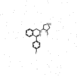 Fc1ccc(C2=N[C@H](C3CNC[C@H]3F)Cc3ccccc32)cc1